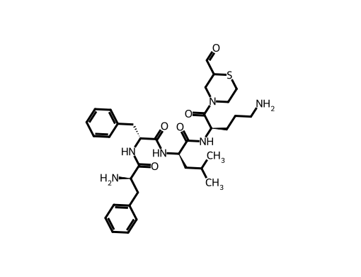 CC(C)C[C@@H](NC(=O)[C@@H](Cc1ccccc1)NC(=O)[C@H](N)Cc1ccccc1)C(=O)N[C@H](CCCN)C(=O)N1CCSC(C=O)C1